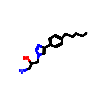 CCCCCc1ccc(-c2cn(CC(O)CN)nn2)cc1